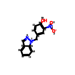 O=[N+]([O-])c1cc(Cn2ncc3ccccc32)ccc1O